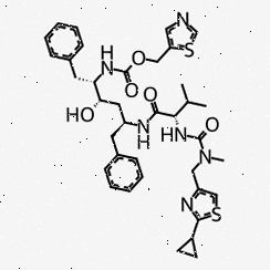 CC(C)[C@H](NC(=O)N(C)Cc1csc(C2CC2)n1)C(=O)N[C@@H](Cc1ccccc1)C[C@H](O)[C@H](Cc1ccccc1)NC(=O)OCc1cncs1